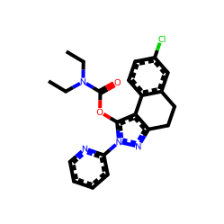 CCN(CC)C(=O)Oc1c2c(nn1-c1ccccn1)CCc1cc(Cl)ccc1-2